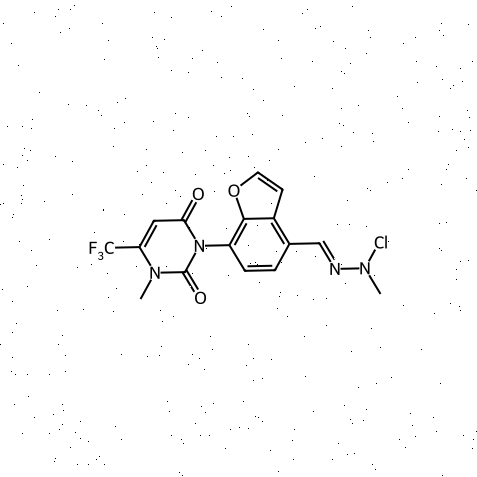 CN(Cl)N=Cc1ccc(-n2c(=O)cc(C(F)(F)F)n(C)c2=O)c2occc12